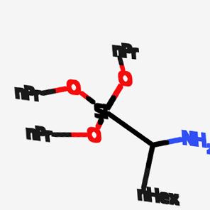 CCCCCCC(N)[Si](OCCC)(OCCC)OCCC